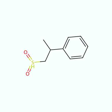 CC(C[SH](=O)=O)c1ccccc1